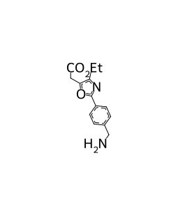 CCOC(=O)Cc1oc(-c2ccc(CN)cc2)nc1C